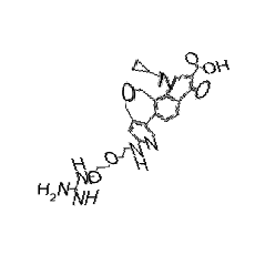 N=C(N)NOCCOCCNc1cc2c(cn1)-c1ccc3c(=O)c(C(=O)O)cn(C4CC4)c3c1COC2